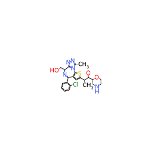 Cc1nnc2n1-c1sc(C(C)C(=O)C3CNCCO3)cc1C(c1ccccc1Cl)=NC2CO